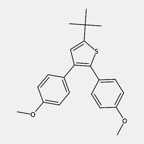 COc1ccc(-c2cc(C(C)(C)C)sc2-c2ccc(OC)cc2)cc1